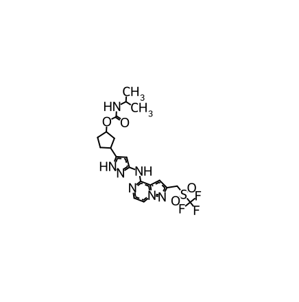 CC(C)NC(=O)OC1CCC(c2cc(Nc3nccn4nc(CS(=O)(=O)C(F)(F)F)cc34)n[nH]2)C1